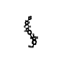 COc1ccc2c(c1)[C@]1(C[C@H]1c1ccc3c(Nc4nc(C5COC5)ncc4Cl)n[nH]c3c1)C(=O)N2